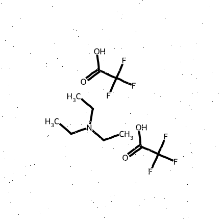 CCN(CC)CC.O=C(O)C(F)(F)F.O=C(O)C(F)(F)F